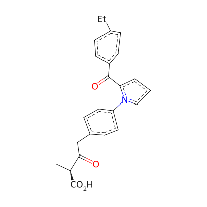 CCc1ccc(C(=O)c2cccn2-c2ccc(CC(=O)[C@H](C)C(=O)O)cc2)cc1